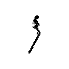 COc1cc2c(Nc3ccc(Oc4ccccc4)cc3)c(C#N)cnc2cc1OCCCN1CCN(CCCCCCOCCOCCOCCCCCC=O)CC1